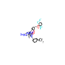 O=C(C1=C(c2ccc(CCCOc3c(F)ccc(F)c3F)cc2)CC2CNC[C@H]1N2)N(Cc1cccc(C(F)(F)F)c1)C1CC1